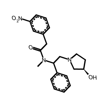 CN(C(=O)Cc1cccc([N+](=O)[O-])c1)C(CN1CC[C@@H](O)C1)c1ccccc1